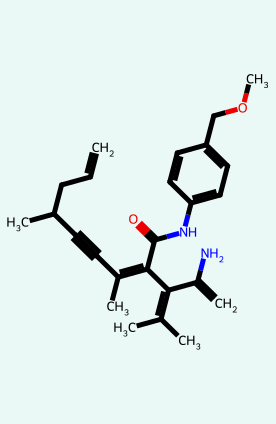 C=CCC(C)C#C/C(C)=C(\C(=O)Nc1ccc(COC)cc1)C(C(=C)N)=C(C)C